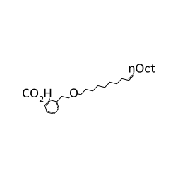 CCCCCCCC/C=C\CCCCCCCCOCCc1ccccc1C(=O)O